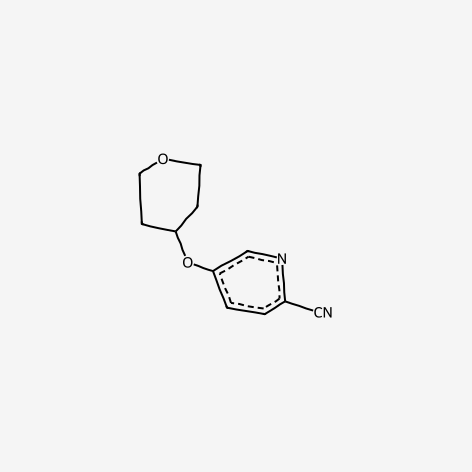 N#Cc1ccc(OC2CCOCC2)cn1